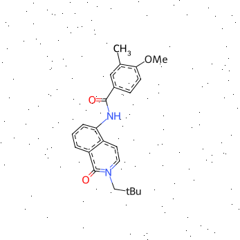 COc1ccc(C(=O)Nc2cccc3c(=O)n(CC(C)(C)C)ccc23)cc1C